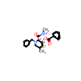 CNC(=O)[C@@H]1[C@@H](OC(=O)c2ccccc2)[C@@H](F)[C@H](C)CN1Cc1ccccc1